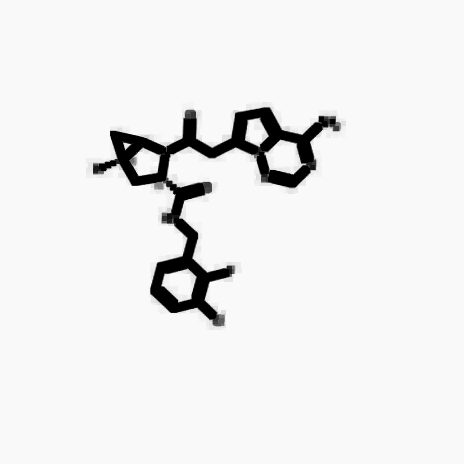 Nc1ncnn2c(CC(=O)N3C4C[C@@H]4C[C@H]3C(=O)NCc3cccc(Cl)c3F)ccc12